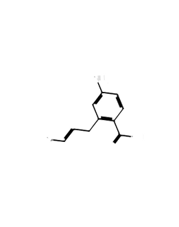 NC=CCc1cc(N)ccc1C(=O)O